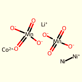 [Co+2].[Li+].[Ni][Ni+].[O]=[Mn](=[O])([O-])[O-].[O]=[Mn](=[O])([O-])[O-]